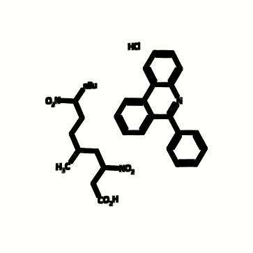 CCCCC(CCC(C)CC(CC(=O)O)[N+](=O)[O-])[N+](=O)[O-].Cl.c1ccc(-c2nc3ccccc3c3ccccc23)cc1